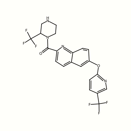 O=C(c1ccc2cc(Oc3ccc(C(F)(F)F)cn3)ccc2n1)N1CCNCC1C(F)(F)F